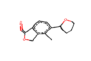 Cc1c(C2CCO2)ccc2c1COC2=O